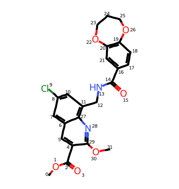 COC(=O)c1cc2cc(Cl)cc(CNC(=O)c3ccc4c(c3)OCCCO4)c2nc1OC